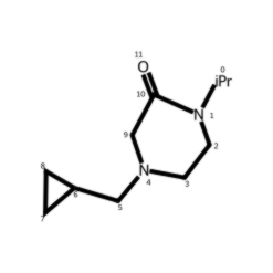 CC(C)N1CCN(CC2CC2)CC1=O